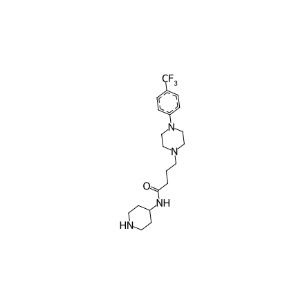 O=C(CCCN1CCN(c2ccc(C(F)(F)F)cc2)CC1)NC1CCNCC1